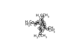 Cc1ccc(C(=O)OOC(=O)OCC(COC(=O)OOC(=O)c2ccc(C)c(C)c2)(COC(=O)OOC(=O)c2ccc(C)c(C)c2)COC(=O)OOC(=O)c2ccc(C)c(C)c2)cc1C